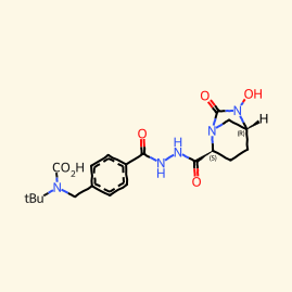 CC(C)(C)N(Cc1ccc(C(=O)NNC(=O)[C@@H]2CC[C@@H]3CN2C(=O)N3O)cc1)C(=O)O